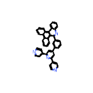 c1cc(-c2cc(-c3ccncc3)nc(-c3ccncc3)c2)cc(-c2nc3ccccc3c3c4ccccc4c4ccccc4c23)c1